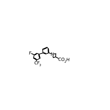 O=C(O)C1CN(c2cccc(-c3cc(F)cc(C(F)(F)F)c3)c2)C1